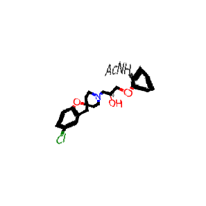 CC(=O)Nc1ccccc1OC[C@H](O)CN1CCC2(CC1)Cc1cc(Cl)ccc1O2